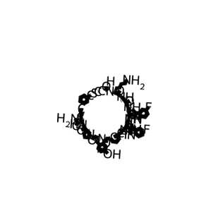 C[C@H]1NC(=O)[C@H](CCCCN)NC(=O)CCSCc2cccc(c2)CSC[C@@H](C(N)=O)NC(=O)[C@]2(C)CCCN2C(=O)[C@H](Cc2ccc(O)cc2)NC(=O)c2cccc(c2)CNC(=O)[C@H](Cc2c[nH]c3ccc(F)cc23)NC(=O)[C@H](Cc2c[nH]c3ccc(F)cc23)NC1=O